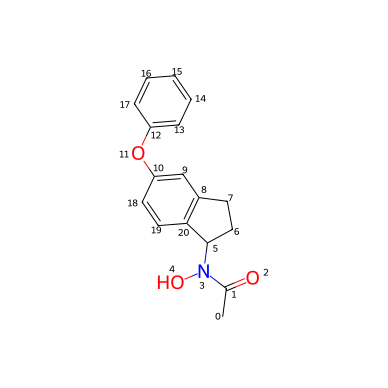 CC(=O)N(O)C1CCc2cc(Oc3ccccc3)ccc21